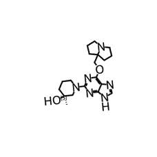 C[C@]1(O)CCCN(c2nc(OCC34CCCN3CCC4)c3nc[nH]c3n2)C1